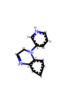 C1=Nc2ccccc2N(c2cccnc2)C1